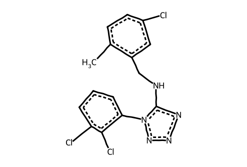 Cc1ccc(Cl)cc1CNc1nnnn1-c1cccc(Cl)c1Cl